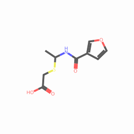 CC(NC(=O)c1ccoc1)SCC(=O)O